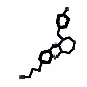 NN1COOCN(Cc2ccc(Cl)cc2)/C1=N/c1ccc(OCCO)cc1